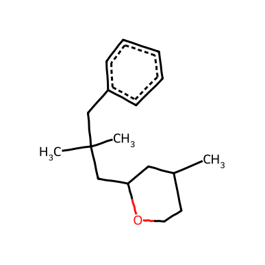 CC1CCOC(CC(C)(C)Cc2ccccc2)C1